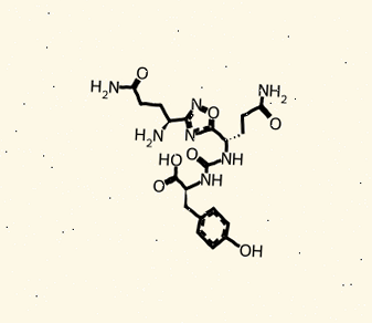 NC(=O)CC[C@H](NC(=O)N[C@@H](Cc1ccc(O)cc1)C(=O)O)c1nc([C@@H](N)CCC(N)=O)no1